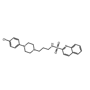 O=S(=O)(NCCCN1CCN(c2ccc(Cl)cc2)CC1)c1ccc2ccccc2n1